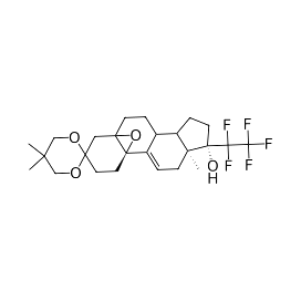 CC1(C)COC2(CC[C@]34OC3(CCC3C4=CC[C@@]4(C)C3CC[C@@]4(O)C(F)(F)C(F)(F)F)C2)OC1